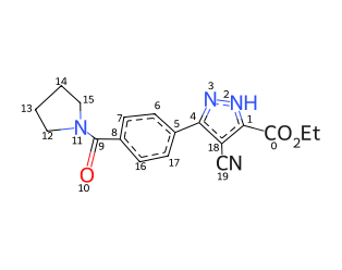 CCOC(=O)c1[nH]nc(-c2ccc(C(=O)N3CCCC3)cc2)c1C#N